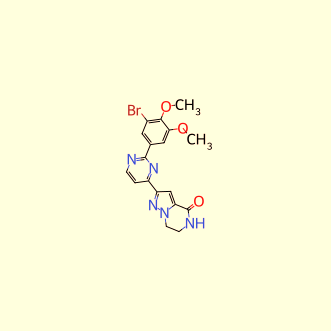 COc1cc(-c2nccc(-c3cc4n(n3)CCNC4=O)n2)cc(Br)c1OC